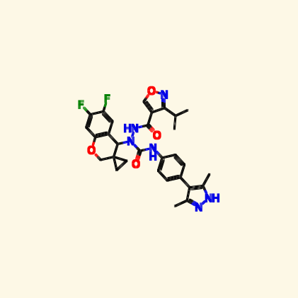 Cc1n[nH]c(C)c1-c1ccc(NC(=O)N(NC(=O)c2conc2C(C)C)C2c3cc(F)c(F)cc3OCC23CC3)cc1